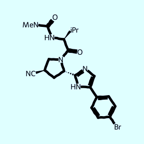 CNC(=O)N[C@H](C(=O)N1C[C@H](C#N)C[C@H]1c1ncc(-c2ccc(Br)cc2)[nH]1)C(C)C